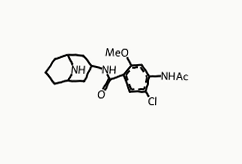 COc1cc(NC(C)=O)c(Cl)cc1C(=O)NC1CC2CCCC(C1)N2